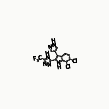 FC(F)(F)c1nnc(-c2[nH]c3c(Cl)c(Cl)ccc3c2-c2cn[nH]c2)[nH]1